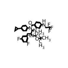 CC(C)(C)OC(=O)NC(Cc1cc(F)cc(F)c1)c1nc2cc(NCC(F)(F)F)ccc2c(=O)n1-c1ccc(C2CC2)cc1